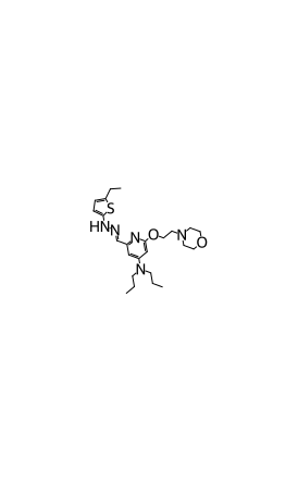 CCCN(CCC)c1cc(/C=N/Nc2ccc(CC)s2)nc(OCCN2CCOCC2)c1